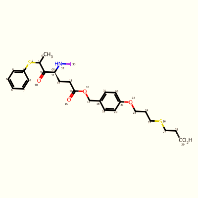 CC(Sc1ccccc1)C(=O)[C@H](CCC(=O)OCc1ccc(OCCCSCCC(=O)O)cc1)NI